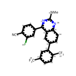 CNc1nc(-c2ccc(C#N)c(F)c2)c2cc(-c3cc(C(F)(F)F)ccc3C(F)(F)F)ccc2n1